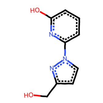 OCc1ccn(-c2cccc(O)n2)n1